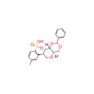 Cc1ccc(S(=O)(=O)O)c([C@@H]2CO[C@@H]3COC(c4ccccc4)O[C@H]3C2)c1